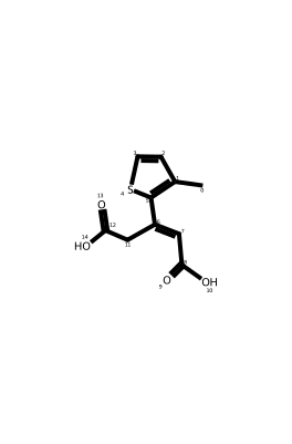 Cc1ccsc1C(=CC(=O)O)CC(=O)O